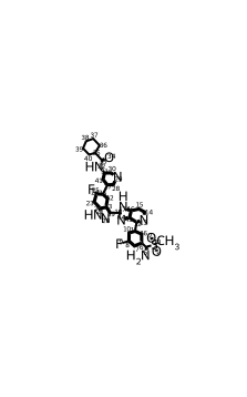 CS(=O)(=O)C(N)c1cc(F)cc(-c2nccc3[nH]c(-c4n[nH]c5cc(F)c(-c6cncc(NC(=O)C7CCCCC7)c6)cc45)nc23)c1